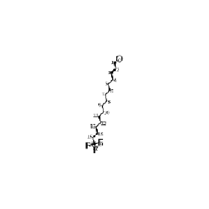 O=C/C=C/CCCCCCCCCCCCC(F)(F)F